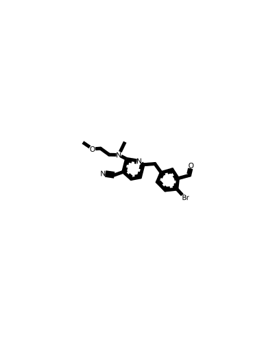 COCCN(C)c1nc(Cc2ccc(Br)c(C=O)c2)ccc1C#N